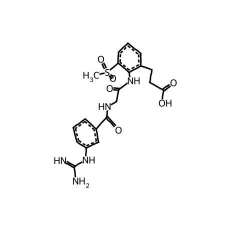 CS(=O)(=O)c1cccc(CCC(=O)O)c1NC(=O)CNC(=O)c1cccc(NC(=N)N)c1